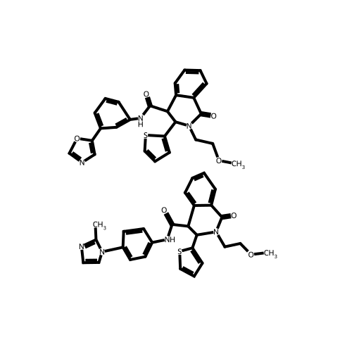 COCCN1C(=O)c2ccccc2C(C(=O)Nc2ccc(-n3ccnc3C)cc2)C1c1cccs1.COCCN1C(=O)c2ccccc2C(C(=O)Nc2cccc(-c3cnco3)c2)C1c1cccs1